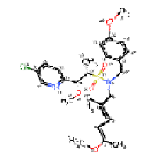 CO/C(C)=C/C=C(\C)CN(Cc1ccc(OC)cc1)S(=O)(=O)[C@@H](C)[C@H](OC)c1ccc(Cl)cn1